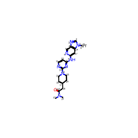 CC(C)n1cnc2cnc(Nc3ccnc(N4CCC(CC(=O)N(C)C)CC4)n3)cc21